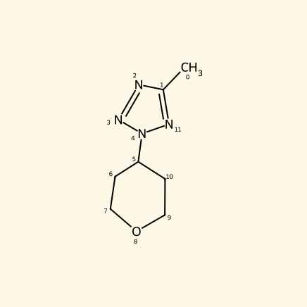 Cc1nnn(C2CCOCC2)n1